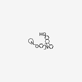 CCN(Cc1ccc(OCCN2CCCCCC2)cc1)c1ccccc1C1Cc2ccc(O)cc2CC1(C)C